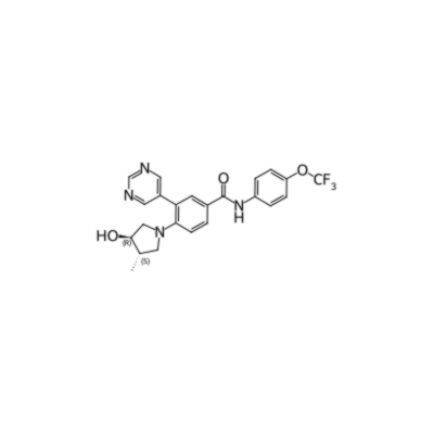 C[C@H]1CN(c2ccc(C(=O)Nc3ccc(OC(F)(F)F)cc3)cc2-c2cncnc2)C[C@@H]1O